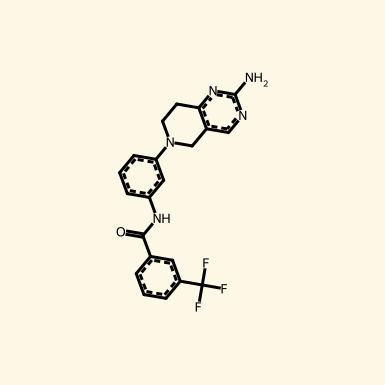 Nc1ncc2c(n1)CCN(c1cccc(NC(=O)c3cccc(C(F)(F)F)c3)c1)C2